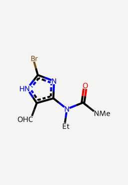 CCN(C(=O)NC)c1nc(Br)[nH]c1C=O